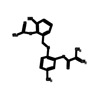 C=C(C)C(=O)Oc1cc(C)ccc1OCc1cccc(O)c1OC(=O)C(C)(C)C